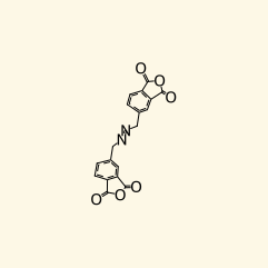 O=C1OC(=O)c2cc(CN=NCc3ccc4c(c3)C(=O)OC4=O)ccc21